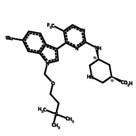 CC(C)(C)c1ccc2c(-c3nc(N[C@@H]4CNC[C@H](C(=O)O)C4)ncc3C(F)(F)F)cn(COCC[Si](C)(C)C)c2c1